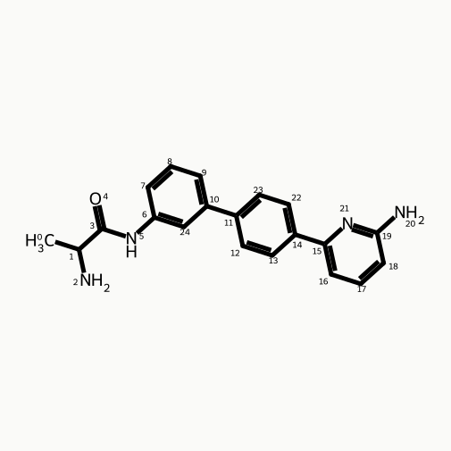 CC(N)C(=O)Nc1cccc(-c2ccc(-c3cccc(N)n3)cc2)c1